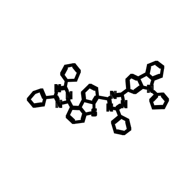 C1=CCC(c2nc(C3=CCCC=C3)nc(-c3cccc4sc5c(-c6nc(-c7ccccc7)nc(-c7ccc8c9ccccc9n(-c9ccccc9)c8c7)n6)cccc5c34)n2)C=C1